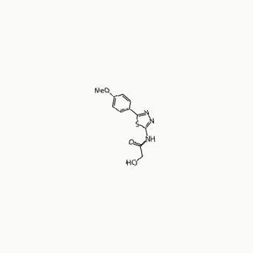 COc1ccc(-c2nnc(NC(=O)CO)s2)cc1